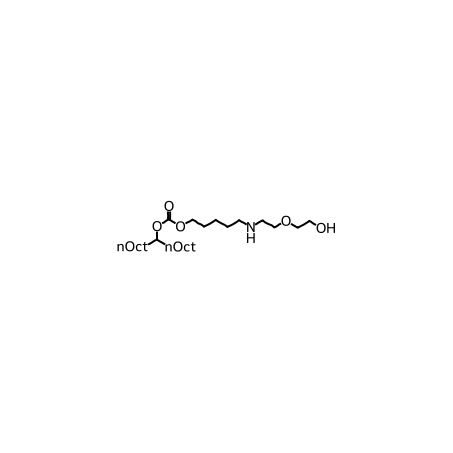 CCCCCCCCC(CCCCCCCC)OC(=O)OCCCCCNCCOCCO